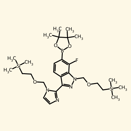 CC1(C)OB(c2ccc3c(-c4nccn4COCC[Si](C)(C)C)nn(COCC[Si](C)(C)C)c3c2F)OC1(C)C